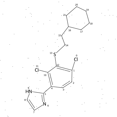 Clc1ccc(-c2ncc[nH]2)c(Cl)c1SCCC1CCCCC1